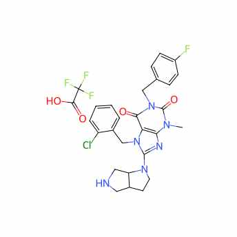 Cn1c(=O)n(Cc2ccc(F)cc2)c(=O)c2c1nc(N1CCC3CNCC31)n2Cc1ccccc1Cl.O=C(O)C(F)(F)F